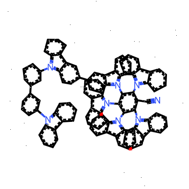 N#Cc1c(-n2c3ccccc3c3ccccc32)c(-n2c3ccccc3c3ccccc32)c(-n2c3ccccc3c3ccccc32)c(-n2c3ccccc3c3cc(-c4ccc5c(c4)c4ccccc4n5-c4cccc(-c5cccc(-n6c7ccccc7c7ccccc76)c5)c4)ccc32)c1-n1c2ccccc2c2ccccc21